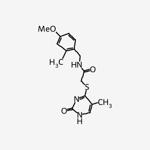 COc1ccc(CNC(=O)CSc2nc(=O)[nH]cc2C)c(C)c1